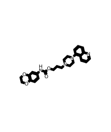 O=C(Nc1ccc2c(c1)OCCO2)OCCCN1CCN(c2cccc3ncccc23)CC1